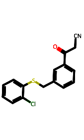 N#CCC(=O)c1cccc(CSc2ccccc2Cl)c1